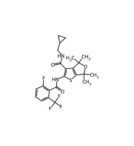 CC1(C)OC(C)(C)c2c1sc(NC(=O)c1c(F)cccc1C(F)(F)F)c2C(=O)NCC1CC1